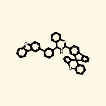 c1cc(-c2ccc3oc4ccccc4c3c2)cc(C2NC(c3ccc4c(c3)C3(c5ccccc5Oc5ccccc53)c3ccccc3-4)=Nc3ccccc32)c1